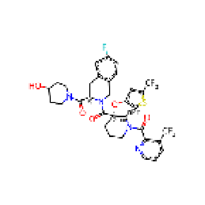 CCC[C@H]1N(C(=O)c2ncccc2C(F)(F)F)CCC[C@@]1(Oc1csc(C(F)(F)F)c1)C(=O)N1Cc2ccc(F)cc2C[C@@H]1C(=O)N1CCC(O)CC1